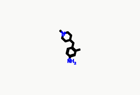 Cc1cc(N)ccc1CC1CCN(C)CC1